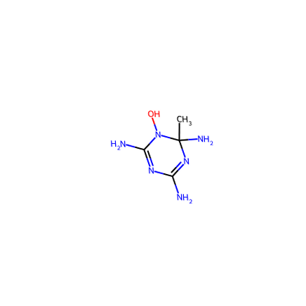 CC1(N)N=C(N)N=C(N)N1O